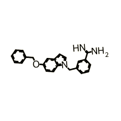 N=C(N)c1cccc(Cn2ccc3cc(OCc4ccccc4)ccc32)c1